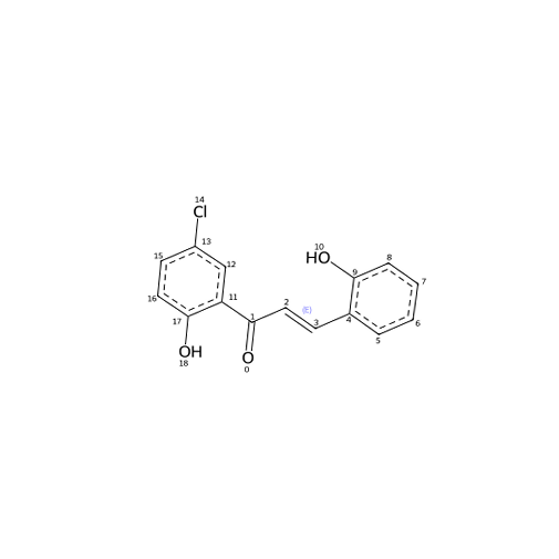 O=C(/C=C/c1ccccc1O)c1cc(Cl)ccc1O